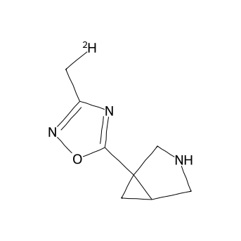 [2H]Cc1noc(C23CNCC2C3)n1